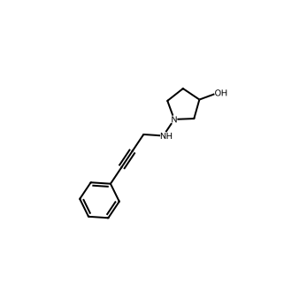 OC1CCN(NCC#Cc2ccccc2)C1